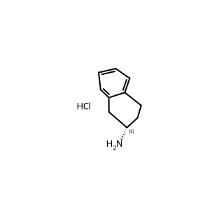 Cl.N[C@H]1CCc2ccccc2C1